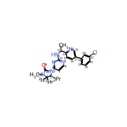 [2H]C1([2H])[C@H](C(C)C)N(c2ccnc(N[C@@H](C)c3ccc(-c4cccc(Cl)c4)cn3)n2)C(=O)N1C